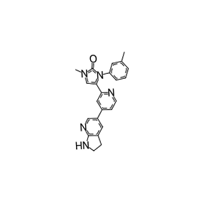 Cc1cccc(-n2c(-c3cc(-c4cnc5c(c4)CCN5)ccn3)cn(C)c2=O)c1